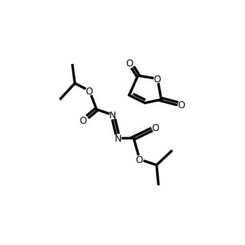 CC(C)OC(=O)N=NC(=O)OC(C)C.O=C1C=CC(=O)O1